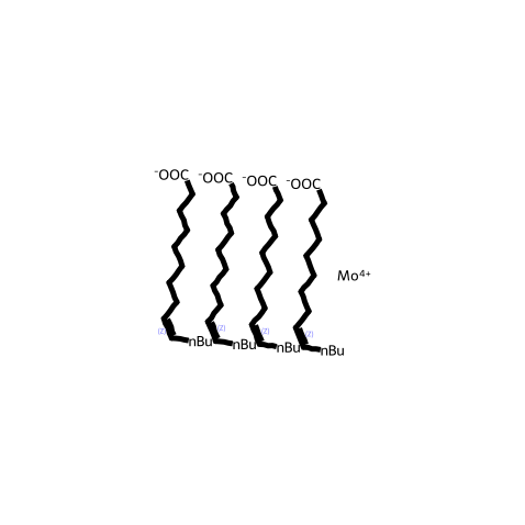 CCCC/C=C\CCCCCCCC(=O)[O-].CCCC/C=C\CCCCCCCC(=O)[O-].CCCC/C=C\CCCCCCCC(=O)[O-].CCCC/C=C\CCCCCCCC(=O)[O-].[Mo+4]